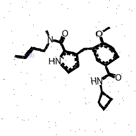 C/C=C/CN(C)C(=O)c1[nH]ccc1Cc1cc(C(=O)NC2CCC2)ccc1OC